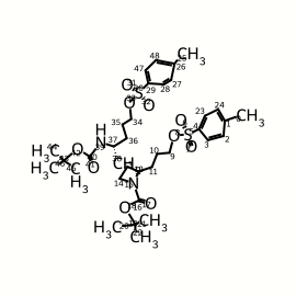 Cc1ccc(S(=O)(=O)OCCCC2CCN2C(=O)OC(C)(C)C)cc1.Cc1ccc(S(=O)(=O)OCCC[C@H](C)NC(=O)OC(C)(C)C)cc1